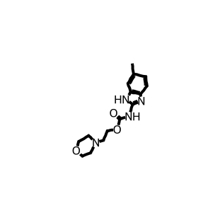 Cc1ccc2nc(NC(=O)OCCN3CCOCC3)[nH]c2c1